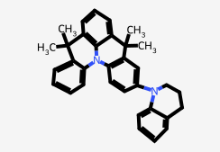 CC1(C)c2ccccc2N2c3ccc(N4CCCc5ccccc54)cc3C(C)(C)c3cccc1c32